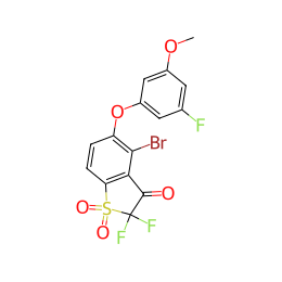 COc1cc(F)cc(Oc2ccc3c(c2Br)C(=O)C(F)(F)S3(=O)=O)c1